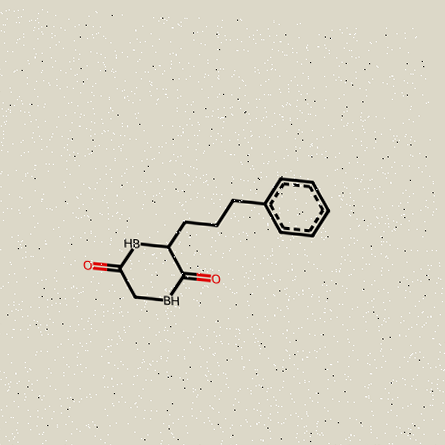 O=C1BC(CCCc2ccccc2)C(=O)BC1